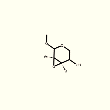 COC1OCC(O)[C@H]2O[C@@H]12